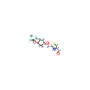 O=Cc1csc(COc2ccc(OC(F)(F)F)cc2)n1